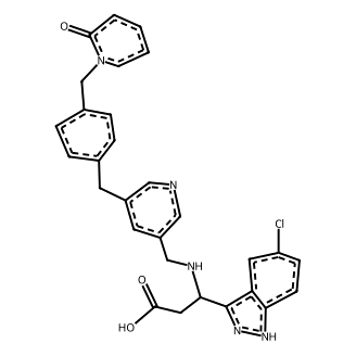 O=C(O)CC(NCc1cncc(Cc2ccc(Cn3ccccc3=O)cc2)c1)c1n[nH]c2ccc(Cl)cc12